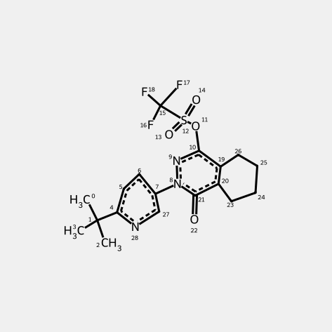 CC(C)(C)c1ccc(-n2nc(OS(=O)(=O)C(F)(F)F)c3c(c2=O)CCCC3)cn1